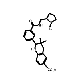 CCN1CCCC1CNC(=O)c1cccc(C2Nc3ccc(C(=O)O)cc3CC2(C)C)c1